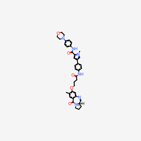 Cc1cc2c(cc1OCCCC(=O)Nc1ccc(-c3cc(C(=O)Nc4ccc(N5CCOCC5)cc4)n(C)c3)cc1)N=C[C@@H]1CCCN1C2=O